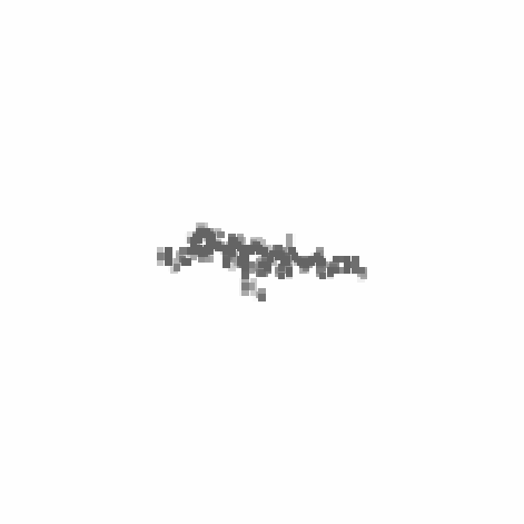 COCCNC(=O)C[S+]([O-])Cc1nc(-c2cccc(C)c2)oc1C